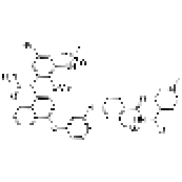 CCC(NC(=O)c1ccc(Nc2cc(Oc3ccc(N(C(N)=O)c4cc(C(C)(C)C)cc(NS(C)(=O)=O)c4OC)c4ccccc34)ccn2)cc1OC)C1CCN(C)CC1